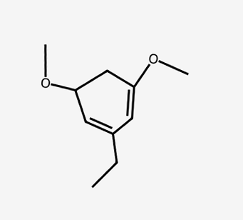 CCC1=CC(OC)CC(OC)=C1